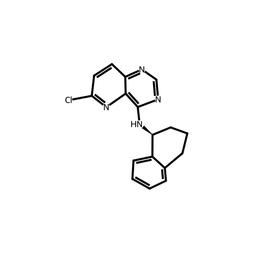 Clc1ccc2ncnc(N[C@H]3CCCc4ccccc43)c2n1